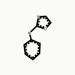 c1ccc([N]c2ncco2)cc1